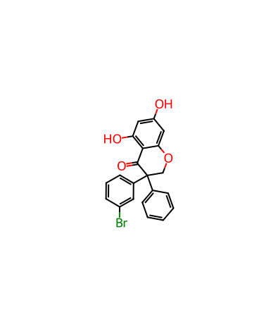 O=C1c2c(O)cc(O)cc2OCC1(c1ccccc1)c1cccc(Br)c1